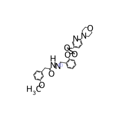 COc1cccc(CC(=O)N/N=C/c2ccccc2OS(=O)(=O)c2ccc(N3CCOCC3)nc2)c1